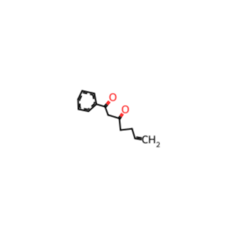 C=CCCC(=O)CC(=O)c1ccccc1